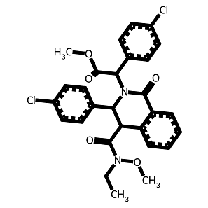 CCN(OC)C(=O)C1c2ccccc2C(=O)N(C(C(=O)OC)c2ccc(Cl)cc2)C1c1ccc(Cl)cc1